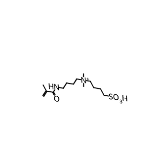 C=C(C)C(=O)NCCCC[N+](C)(C)CCCCS(=O)(=O)O